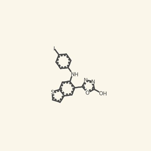 Oc1nnc(-c2cc3ccsc3cc2Nc2ccc(I)cc2)o1